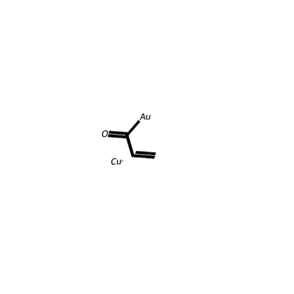 C=C[C](=O)[Au].[Cu]